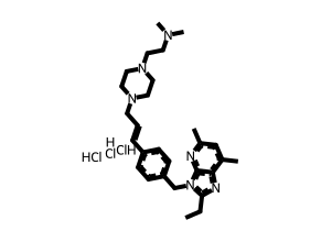 CCc1nc2c(C)cc(C)nc2n1Cc1ccc(C=CCN2CCN(CCN(C)C)CC2)cc1.Cl.Cl.Cl